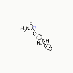 NC/C(=C\F)COc1ccc2c(c1)N=CC(N1CCOCC1)N2